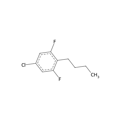 CCCCc1c(F)cc(Cl)cc1F